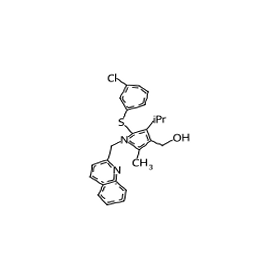 Cc1c(CO)c(C(C)C)c(Sc2cccc(Cl)c2)n1Cc1ccc2ccccc2n1